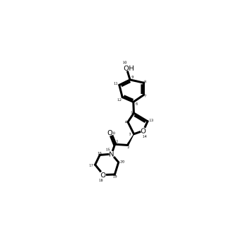 O=C(C[C@H]1CC(c2ccc(O)cc2)=CO1)N1CCOCC1